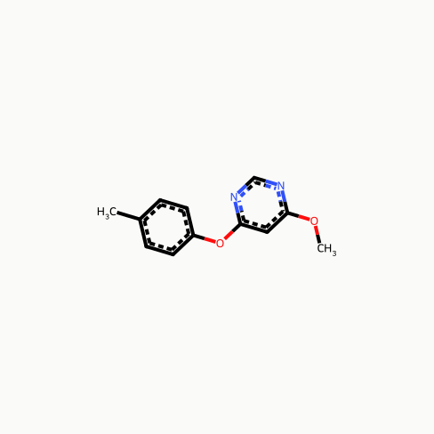 COc1cc(Oc2ccc(C)cc2)ncn1